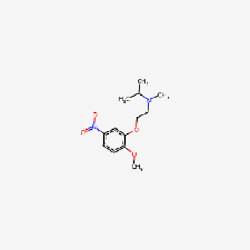 COc1ccc([N+](=O)[O-])cc1OCCN(C)C(C)C